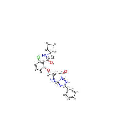 CCC1(NC(=O)c2c(Cl)cccc2OCc2cc(=O)n3nc(-c4ccccc4)nc3[nH]2)CCCC1